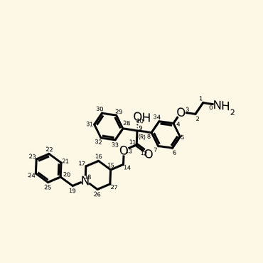 NCCOc1cccc([C@@](O)(C(=O)OCC2CCN(Cc3ccccc3)CC2)c2ccccc2)c1